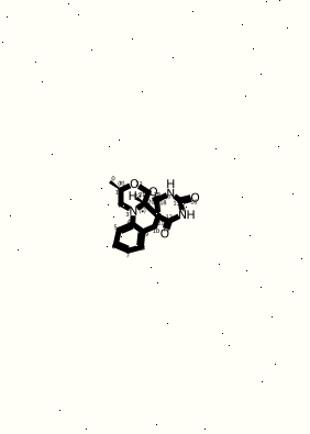 C[C@@H]1CN2c3ccccc3CC3(C(=O)NC(=O)NC3=O)[C@H]2CO1